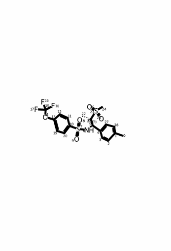 Cc1ccc([C@@H](NS(=O)(=O)c2ccc(OC(F)(F)F)cc2)[C@H](C)S(C)(=O)=O)cc1